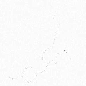 CCCNc1nc(Nc2ccc(C#N)cc2)ncc1C#CCCCCl